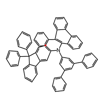 c1ccc(-c2cc(-c3ccccc3)cc(N(c3ccc4c(c3)-c3ccccc3C4(c3ccccc3)c3ccccc3)c3c(-c4ccccc4)c4ccccc4c4ccccc34)c2)cc1